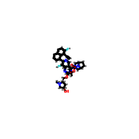 C#Cc1c(F)ccc2cccc(-c3ncc4c(N5CC6CCC(C5)N6C(=O)OC(C)(C)C)nc(OC[C@@H]5C[C@@H](O)CN5C)nc4c3F)c12